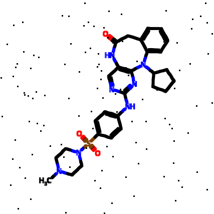 CN1CCN(S(=O)(=O)c2ccc(Nc3ncc4c(n3)N(C3CCCC3)c3ccccc3CC(=O)N4)cc2)CC1